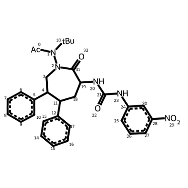 CC(=O)N(N1CC(c2ccccc2)C(c2ccccc2)CC(NC(=O)Nc2cccc([N+](=O)[O-])c2)C1=O)C(C)(C)C